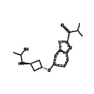 CC(S)N[C@H]1C[C@H](Oc2ccc3oc(C(=O)C(C)C)cc3c2)C1